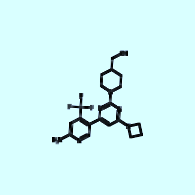 Nc1cc(C(F)(F)F)c(-c2cc(N3CCC3)nc(N3CCC(CO)CC3)n2)cn1